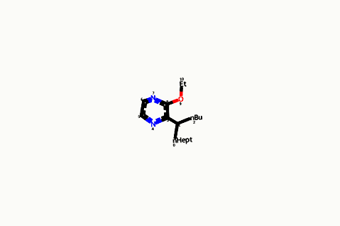 CCCCCCCC(CCCC)c1nccnc1OCC